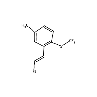 CCC=Cc1cc(C)ccc1SC(F)(F)F